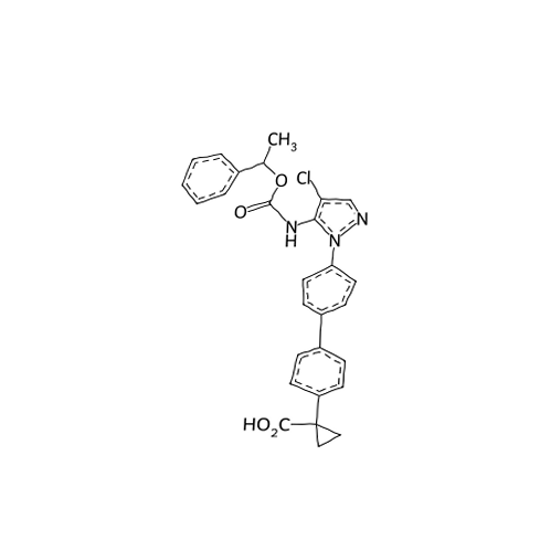 CC(OC(=O)Nc1c(Cl)cnn1-c1ccc(-c2ccc(C3(C(=O)O)CC3)cc2)cc1)c1ccccc1